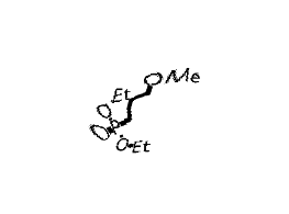 CCOP(=O)(CCCOC)OCC